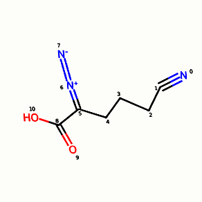 N#CCCCC(=[N+]=[N-])C(=O)O